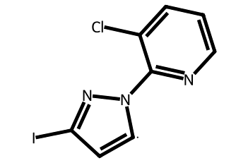 Clc1cccnc1-n1[c]cc(I)n1